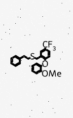 COc1cc[c]cc1Oc1ccc(C(F)(F)F)cc1CSCCc1ccccc1